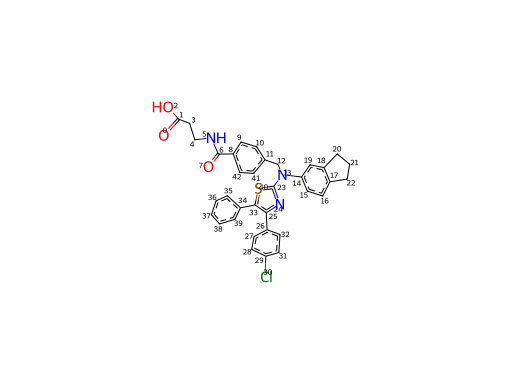 O=C(O)CCNC(=O)c1ccc(CN(c2ccc3c(c2)CCC3)c2nc(-c3ccc(Cl)cc3)c(-c3ccccc3)s2)cc1